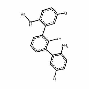 CC(C)c1c(-c2cc(Cl)ccc2N)cccc1-c1cc(Cl)ccc1NS